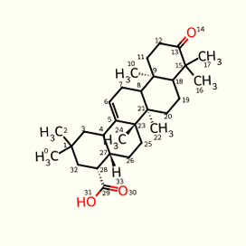 CC1(C)CC2C3=CCC4[C@@]5(C)CCC(=O)C(C)(C)C5CC[C@@]4(C)[C@]3(C)CC[C@@H]2[C@H](C(=O)O)C1